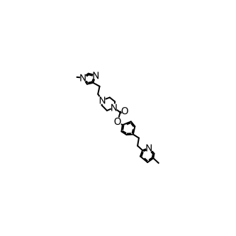 Cc1ccc(CCc2ccc(OC(=O)N3CCN(CCc4cn(C)cn4)CC3)cc2)nc1